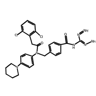 N=N/C(=N\N)NC(=O)c1ccc(CN(C(=O)Cc2c(Cl)cccc2Cl)c2ccc(N3CCCCC3)cc2)cc1